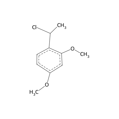 COc1ccc(C(C)Cl)c(OC)c1